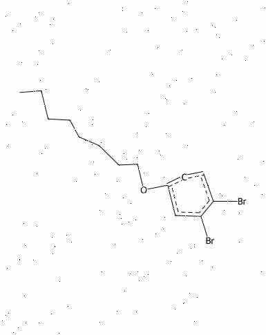 CCCCCCCCOc1ccc(Br)c(Br)c1